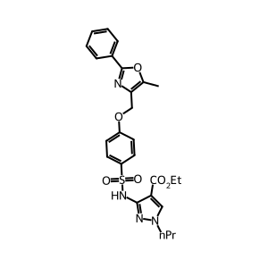 CCCn1cc(C(=O)OCC)c(NS(=O)(=O)c2ccc(OCc3nc(-c4ccccc4)oc3C)cc2)n1